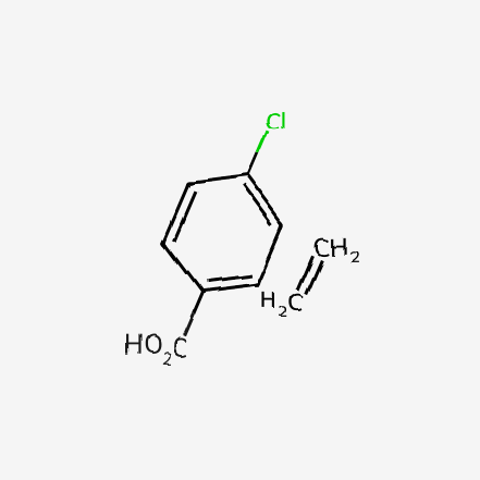 C=C.O=C(O)c1ccc(Cl)cc1